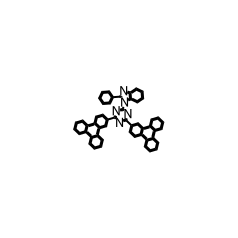 c1ccc(-c2nc3ccccc3n2-c2nc(-c3ccc4c5ccccc5c5ccccc5c4c3)nc(-c3ccc4c5ccccc5c5ccccc5c4c3)n2)cc1